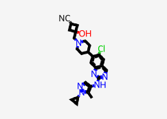 Cc1c(Nc2ncc3cc(Cl)c(C4CCN(CC5(O)CC(C#N)C5)CC4)cc3n2)cnn1C1CC1